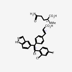 CC/C(=C(/c1ccc(/C=C/C(=O)O)cc1)c1ccc2[nH]ncc2c1)c1ccc(F)cc1Cl.CN[C@@H](CCC(N)=O)C(=O)O